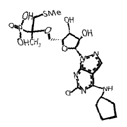 CSCC(C)(OC[C@H]1O[C@H](n2ncc3c(NC4CCCC4)nc(Cl)nc32)[C@H](O)[C@@H]1O)P(=O)(O)O